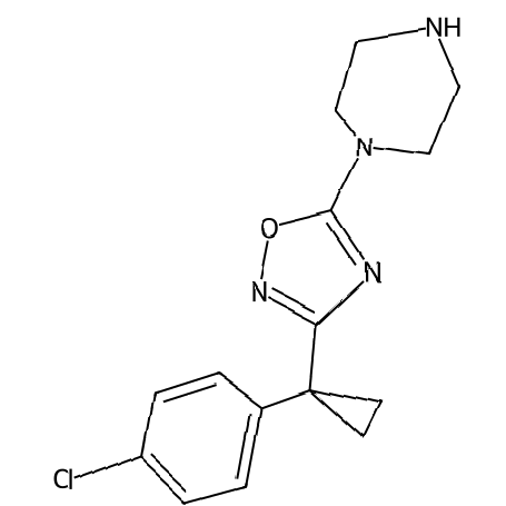 Clc1ccc(C2(c3noc(N4CCNCC4)n3)CC2)cc1